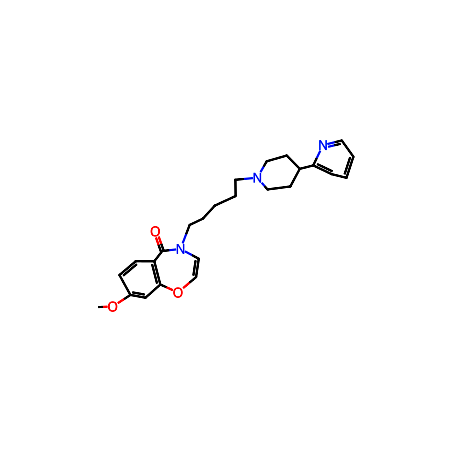 COc1ccc2c(c1)OC=CN(CCCCCN1CCC(c3ccccn3)CC1)C2=O